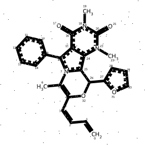 C=C/C=C\C1=C(C)n2c(-c3ccccc3)c3c(=O)n(C)c(=O)n(C)c3c2C(c2ccco2)O1